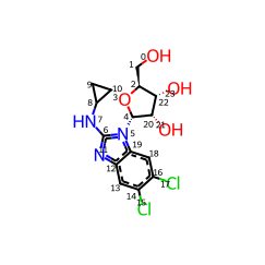 OC[C@@H]1O[C@@H](n2c(NC3CC3)nc3cc(Cl)c(Cl)cc32)[C@@H](O)[C@H]1O